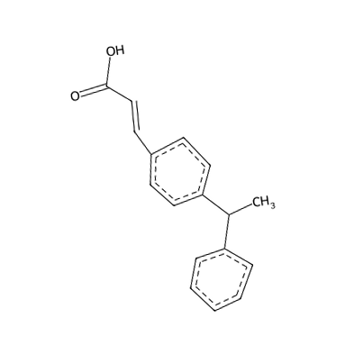 CC(c1ccccc1)c1ccc(C=CC(=O)O)cc1